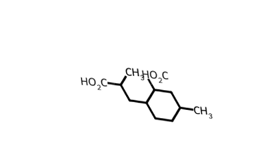 CC1CCC(CC(C)C(=O)O)C(C(=O)O)C1